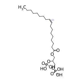 CCCCCCCC/C=C\CCCCCCCC(=O)OCC(COP(=O)(O)O)OP(=O)(O)O